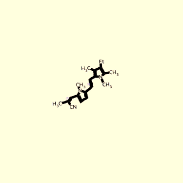 CCc1c(C)c(/C=C/c2ccc(/C=C(/C)C#N)n2C)n(C)c1C